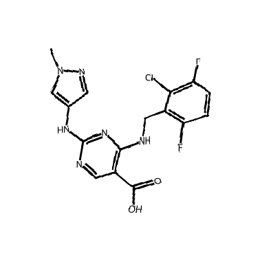 Cn1cc(Nc2ncc(C(=O)O)c(NCc3c(F)ccc(F)c3Cl)n2)cn1